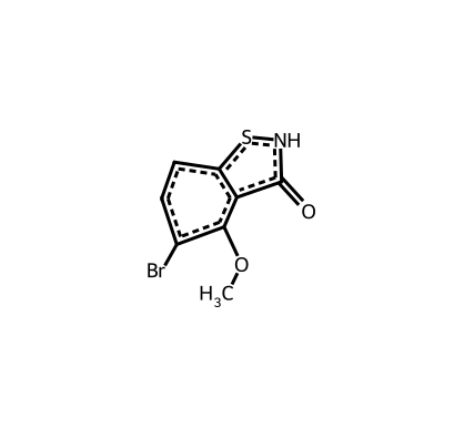 COc1c(Br)ccc2s[nH]c(=O)c12